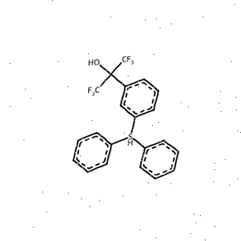 OC(c1cccc([SH](c2ccccc2)c2ccccc2)c1)(C(F)(F)F)C(F)(F)F